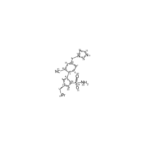 CC(C)Cc1cc(-c2ccc(Cn3ccnc3)cc2C#N)c(S(N)(=O)=O)s1